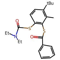 CCN(CC)C(=O)Sc1ccc(C(C)(C)C)c(C)c1SC(=O)c1ccccc1